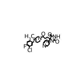 C[C@H]1CN(C(=O)CCC2(c3ccncc3)NC(=O)NC2=O)CCN1c1ccc(F)c(Cl)c1